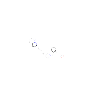 Cc1ccc(COC2COC2)c(C(C(=O)O)N2CC[C@@H](C(F)(F)CCCCc3ccc4c(n3)NCCC4)C2)c1